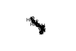 CC(=O)Nc1ccc(-c2[nH]c3ccc(NC(=O)[C@@H]4CCCN4C(=O)[C@@H](c4ccccc4)N(C)C)cc3c2F)cc1